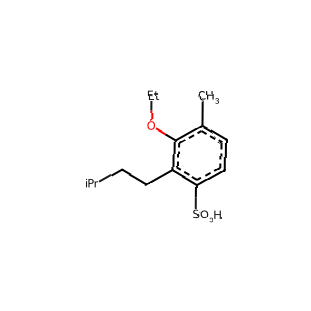 CCOc1c(C)ccc(S(=O)(=O)O)c1CCC(C)C